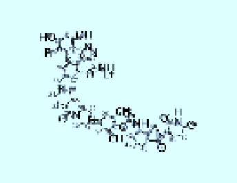 CCNC(=O)c1nnc(-c2cc(C(C)C)c(O)cc2O)n1-c1ccc(CN2CCC(C(=O)N3CCN(c4cc(C)c(OC(=O)Nc5cccc6c5CN(C5CCC(=O)NC5=O)C6=O)c(C)c4)CC3)CC2)cc1